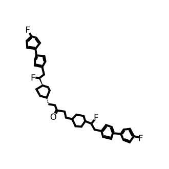 O=C(CCC1CCC(C(F)Cc2ccc(-c3ccc(F)cc3)cc2)CC1)CC[C@H]1CC[C@H](C(F)Cc2ccc(-c3ccc(F)cc3)cc2)CC1